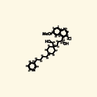 COc1ccc2ncc(Cl)c([C@H](O)CCC3(CO)CCN(CCCCc4cccnc4)CC3)c2c1